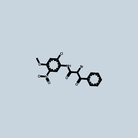 COc1cc(Cl)c(NC(=O)C(Br)C(=O)c2ccccc2)cc1[N+](=O)[O-]